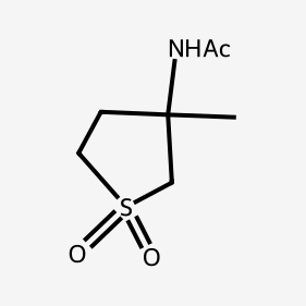 CC(=O)NC1(C)CCS(=O)(=O)C1